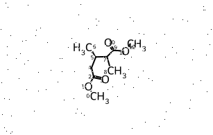 COC(=O)C[C@@H](C)C(C)C(=O)OC